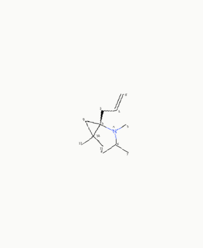 C=CC[C@]1(N(C)C(C)C)CC1(C)C